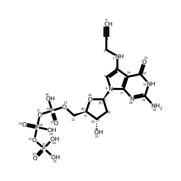 C#CCNc1cn([C@H]2C[C@H](O)[C@@H](COP(=O)(O)OP(=O)(O)OP(=O)(O)O)O2)c2nc(N)[nH]c(=O)c12